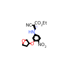 CCOC(=O)/C(C#N)=C/Nc1ccc([N+](=O)[O-])c(OC2CCOC2)c1